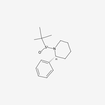 CC(C)(C)[S+]([O-])N1CCCC[C@@H]1c1ccccc1